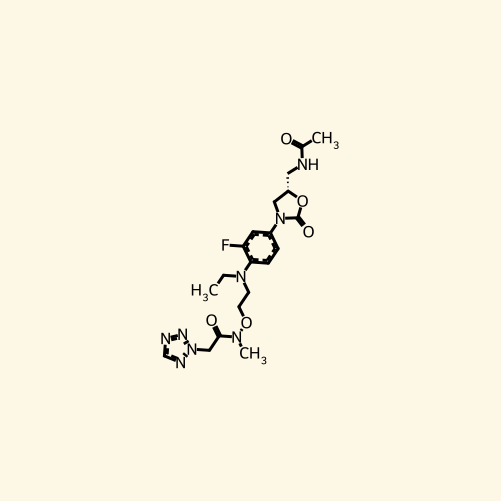 CCN(CCON(C)C(=O)Cn1ncnn1)c1ccc(N2C[C@H](CNC(C)=O)OC2=O)cc1F